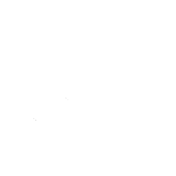 CCS(=O)(=O)N(Cc1cccnc1)c1ccc(COc2ccccc2)cc1